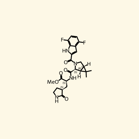 COC(=O)[C@H](C[C@@H]1CCNC1=O)NC(=O)[C@@H]1[C@@H]2[C@H](CN1C(=O)c1cc3c(F)ccc(F)c3[nH]1)C2(C)C